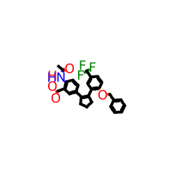 CC(=O)Nc1ccc(C2=C(c3cc(C(F)(F)F)ccc3OCc3ccccc3)CCC2)cc1C(=O)O